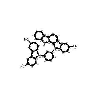 N#Cc1ccc2c(c1)c1cc(C#N)ccc1n2-c1cccc(-n2c3ccc(C#N)cc3c3ccc4c5ccccc5sc4c32)c1